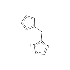 c1csc(Cc2ncc[nH]2)c1